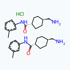 Cc1cccc(NC(=O)[C@H]2CC[C@H](CN)CC2)c1.Cc1cccc(NC(=O)[C@H]2CC[C@H](CN)CC2)c1.Cl